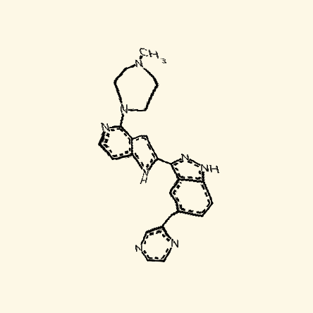 CN1CCN(c2nccc3[nH]c(-c4n[nH]c5ccc(-c6cnccn6)cc45)cc23)CC1